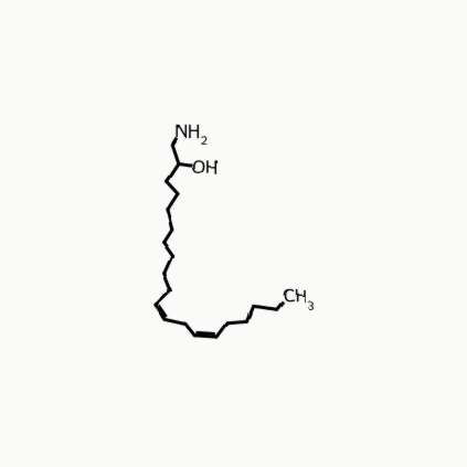 CCCCC/C=C\C/C=C\CCCCCCCCC(O)CN